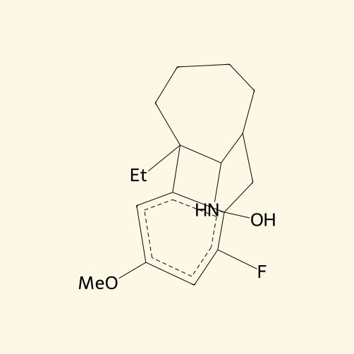 CCC12CCCCC(Cc3c(F)cc(OC)cc31)C2NO